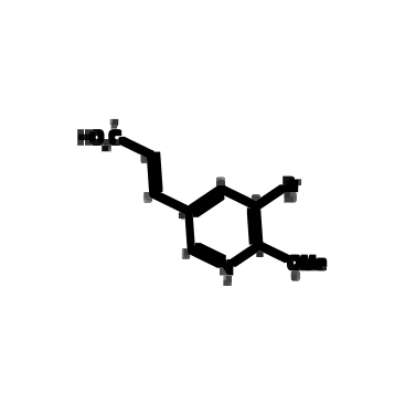 COc1ncc(/C=C/C(=O)O)cc1Br